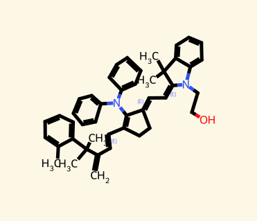 C=C(/C=C/C1=C(N(c2ccccc2)c2ccccc2)C(=C/C=C2/N(CCO)c3ccccc3C2(C)C)/CC1)C(C)(C)c1ccccc1C